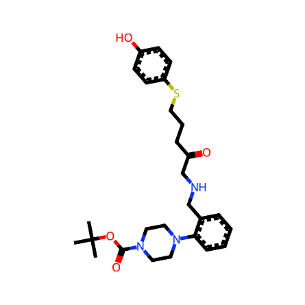 CC(C)(C)OC(=O)N1CCN(c2ccccc2CNCC(=O)CCCSc2ccc(O)cc2)CC1